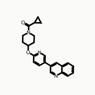 O=C(C1CC1)N1CCC(Oc2ccc(-c3cnc4ccccc4c3)cn2)CC1